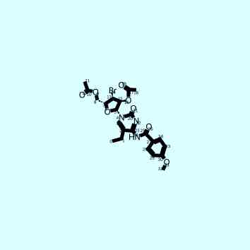 CCc1cn([C@@H]2O[C@H](COC(C)=O)[C@H](Br)[C@H]2OC(C)=O)c(=O)nc1NC(=O)c1ccc(OC)cc1